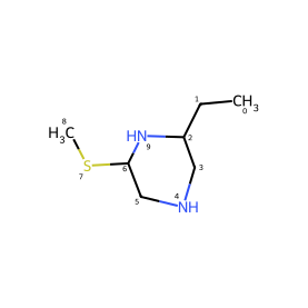 CCC1CNCC(SC)N1